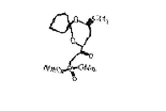 C=C1CC(C(=O)CP(=O)(OC)OC)OC2(CCCC2)O1